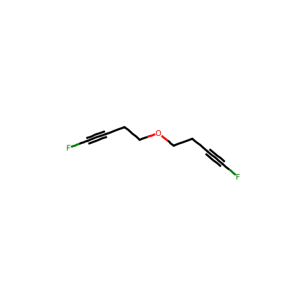 FC#CCCOCCC#CF